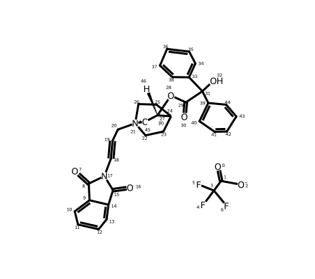 O=C([O-])C(F)(F)F.O=C1c2ccccc2C(=O)N1C#CC[N+]12CCC(CC1)[C@@H](OC(=O)C(O)(c1ccccc1)c1ccccc1)C2